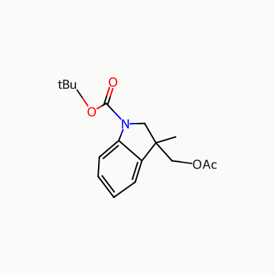 CC(=O)OCC1(C)CN(C(=O)OC(C)(C)C)c2ccccc21